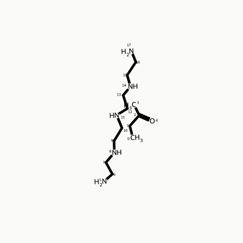 CCC(C)=O.NCCNCCNCCNCCN